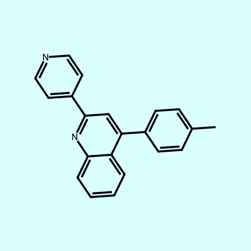 Cc1ccc(-c2cc(-c3ccncc3)nc3ccccc23)cc1